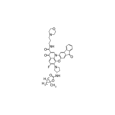 CC(C)(C)OC(=O)N[C@H]1CCN(c2c(F)cc3c(=O)c(C(=O)NCCCN4CCOCC4)cn4c5cc6c(cc5oc2c34)c(=O)c2ccccc26)C1